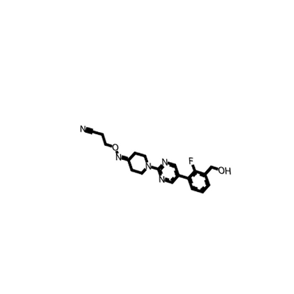 N#CCCON=C1CCN(c2ncc(-c3cccc(CO)c3F)cn2)CC1